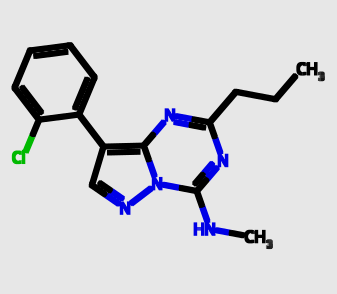 CCCc1nc(NC)n2ncc(-c3ccccc3Cl)c2n1